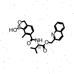 Cc1c(C(=O)N[C@H](C(=O)OCc2ccc3ccccc3n2)C(C)C)ccc2c1B(O)OC2